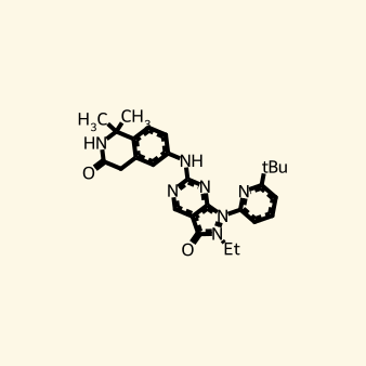 CCn1c(=O)c2cnc(Nc3ccc4c(c3)CC(=O)NC4(C)C)nc2n1-c1cccc(C(C)(C)C)n1